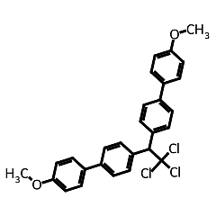 COc1ccc(-c2ccc(C(c3ccc(-c4ccc(OC)cc4)cc3)C(Cl)(Cl)Cl)cc2)cc1